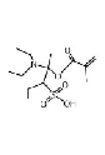 C=C(C)C(=O)OC(C)(C(CC)S(=O)(=O)O)N(CC)CC